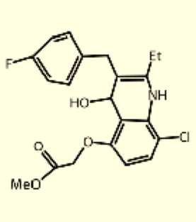 CCC1=C(Cc2ccc(F)cc2)C(O)c2c(OCC(=O)OC)ccc(Cl)c2N1